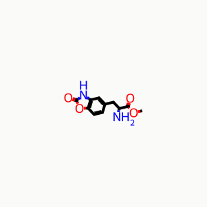 COC(=O)C(N)Cc1ccc2oc(=O)[nH]c2c1